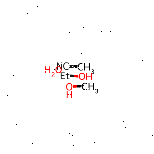 CC#N.CCO.CO.O